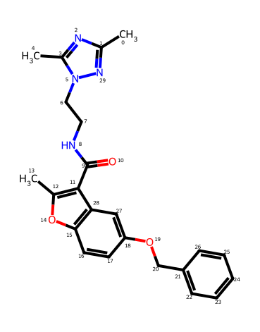 Cc1nc(C)n(CCNC(=O)c2c(C)oc3ccc(OCc4ccccc4)cc23)n1